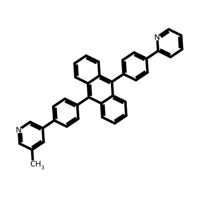 Cc1cncc(-c2ccc(-c3c4ccccc4c(-c4ccc(-c5ccccn5)cc4)c4ccccc34)cc2)c1